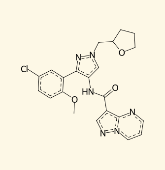 COc1ccc(Cl)cc1-c1nn(CC2CCCO2)cc1NC(=O)c1cnn2cccnc12